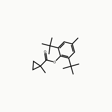 Cc1cc(C(C)(C)C)c(OC(=O)C2(C)CC2)c(C(C)(C)C)c1